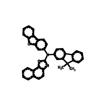 CC1(C)c2ccccc2-c2ccc(N(c3ccc4c(c3)oc3ccccc34)c3nc4ccc5ccccc5c4o3)cc21